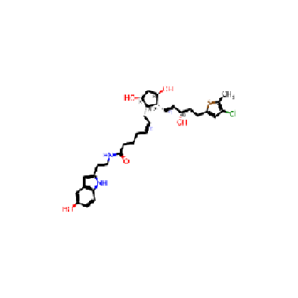 Cc1sc(CC[C@H](O)/C=C/[C@@H]2[C@H](C/C=C\CCCC(=O)NCCc3cc4cc(O)ccc4[nH]3)[C@@H](O)C[C@H]2O)cc1Cl